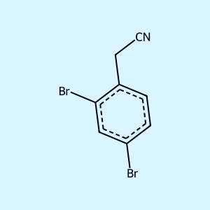 N#CCc1ccc(Br)cc1Br